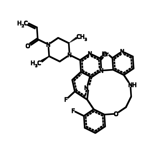 C=CC(=O)N1C[C@H](C)N(c2nc(=O)n3c4nc(c(F)cc24)-c2c(F)cccc2OCCNc2ccnc(C(C)C)c2-3)C[C@H]1C